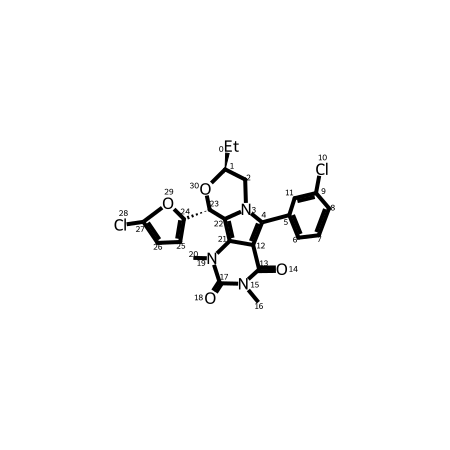 CC[C@H]1Cn2c(-c3cccc(Cl)c3)c3c(=O)n(C)c(=O)n(C)c3c2[C@H](c2ccc(Cl)o2)O1